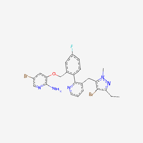 CCc1nn(C)c(Cc2cccnc2-c2ccc(F)cc2COc2cc(Br)cnc2N)c1Br